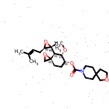 CO[C@@H]1[C@H](OC(=O)N2CCC3(CCOC3)CC2)CC[C@]2(CO2)[C@H]1[C@@]1(C)O[C@@H]1CC=C(C)C